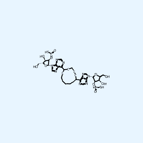 O=[PH](S)O[C@@H]1[C@H](O)[C@@H](CO)O[C@H]1n1cnc2c(C3CCCCCCC(c4ncnc5c4ncn5[C@@H]4OC(CO)[C@@H](O)[C@H]4O[PH](=O)S)CCCC3)ncnc21